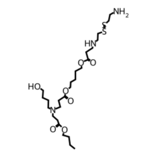 CCCCOC(=O)CCN(CCCCO)CCC(=O)OCCCCCOC(=O)CCNCCSSCCN